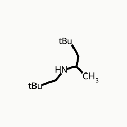 CC(CC(C)(C)C)NCC(C)(C)C